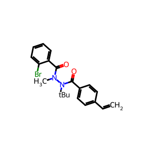 C=Cc1ccc(C(=O)N(N(C)C(=O)c2ccccc2Br)C(C)(C)C)cc1